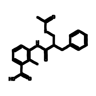 CC(=O)SCC(Cc1ccccc1)C(=O)Nc1cccc(C(=O)O)c1C